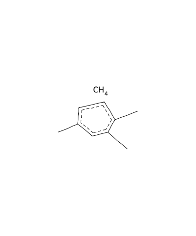 C.Cc1ccc(C)c(C)c1